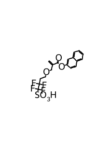 C=C(COCCC(F)(F)C(F)(F)S(=O)(=O)O)C(=O)Oc1ccc2ccccc2c1